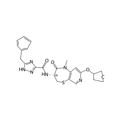 CN1C(=O)[C@@H](NC(=O)c2n[nH]c(Cc3ccccc3)n2)CSc2cnc(OC3CCCC3)cc21